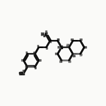 C=C(CCc1ccc(C(C)(C)C)cc1)CN1CCCC2CCCCC21